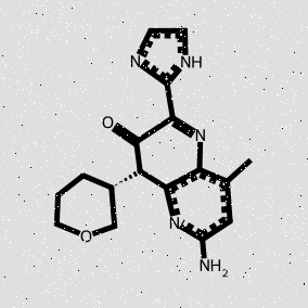 Cc1cc(N)nc2c1N=C(c1ncc[nH]1)C(=O)C2[C@H]1CCCOC1